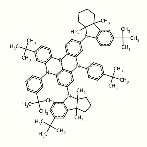 CC(C)(C)c1ccc(N2c3cc(N4c5ccc(C(C)(C)C)cc5C5(C)CCCCC45C)ccc3B3c4ccc(C(C)(C)C)cc4N(c4cccc(C(C)(C)C)c4)c4cc(N5c6ccc(C(C)(C)C)cc6C6(C)CCCC56C)cc2c43)cc1